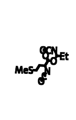 CCC(N=C=O)OC(=O)C(CCSC)N=C=O